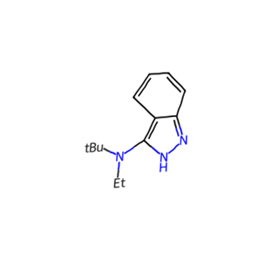 CCN(c1[nH]nc2ccccc12)C(C)(C)C